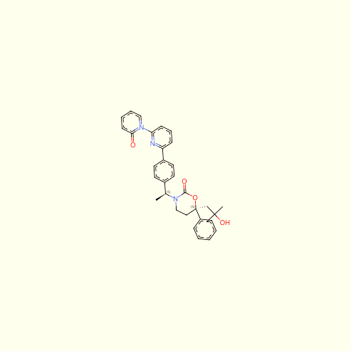 C[C@@H](c1ccc(-c2cccc(-n3ccccc3=O)n2)cc1)N1CC[C@](CC(C)(C)O)(c2ccccc2)OC1=O